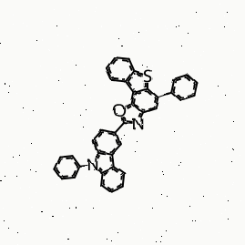 c1ccc(-c2cc3nc(-c4ccc5c(c4)c4ccccc4n5-c4ccccc4)oc3c3c2sc2ccccc23)cc1